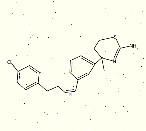 CC1(c2cccc(/C=C\CCc3ccc(Cl)cc3)c2)CCSC(N)=N1